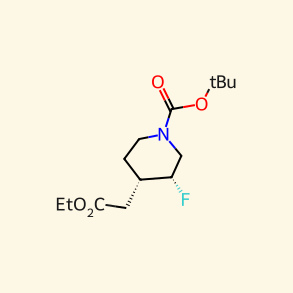 CCOC(=O)C[C@@H]1CCN(C(=O)OC(C)(C)C)C[C@@H]1F